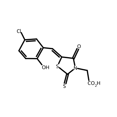 O=C(O)CN1C(=O)C(=Cc2cc(Cl)ccc2O)SC1=S